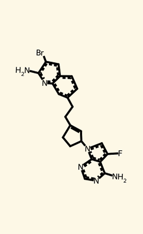 Nc1nc2cc(CCC3=CC(n4cc(F)c5c(N)ncnc54)CC3)ccc2cc1Br